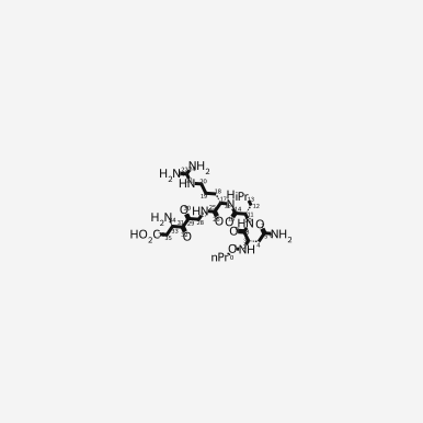 CCCON[C@@H](CC(N)=O)C(=O)N[C@@H](CC(C)C)C(=O)N[C@@H](CCCNC(N)N)C(=O)NCC(=O)C(=O)[C@@H](N)CC(=O)O